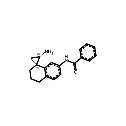 N[C@H]1C[C@]12CCCc1ccc(NC(=O)c3ccccc3)cc12